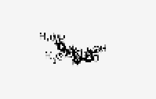 CNCc1ccc(-c2nnc(-c3cncc(-c4ccc(=O)n(C(C)CO)c4)n3)o2)c(OC)c1